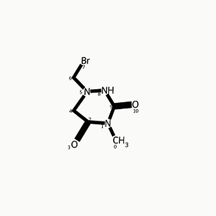 CN1C(=O)CN(CBr)NC1=O